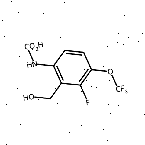 O=C(O)Nc1ccc(OC(F)(F)F)c(F)c1CO